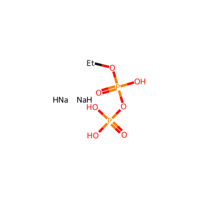 CCOP(=O)(O)OP(=O)(O)O.[NaH].[NaH]